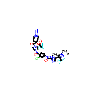 Cn1cc(-c2cnc(C(=O)Nc3ccc(C(=O)N4CCN(C(=O)C5(OC(=O)C(F)(F)F)CCNCC5)CC4)c(Cl)c3)n2C)c(C(F)(F)F)n1